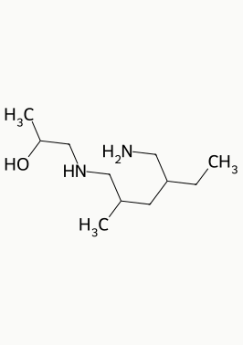 CCC(CN)CC(C)CNCC(C)O